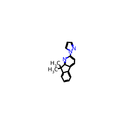 CC1(C)c2ccccc2-c2ccc(-n3cccn3)nc21